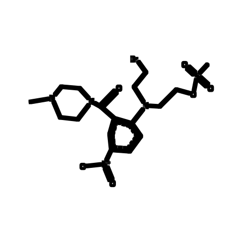 CN1CCN(C(=O)c2cc([N+](=O)[O-])ccc2N(CCBr)CCOS(C)(=O)=O)CC1